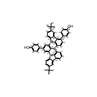 CC(C)(C)c1ccc2c(c1)c1cccc3c1n2-c1cc(-c2ccc(O)cc2)cc2c1B3c1ccc(-c3ccc(O)cc3)c3c4cc(C(C)(C)C)ccc4n-2c13